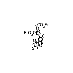 CCOC(=O)C(C)OCC1(C(=O)OCC)CC(c2cc(-n3c(=O)n(C)c(=S)n(C)c3=O)c(F)cc2Cl)=NO1